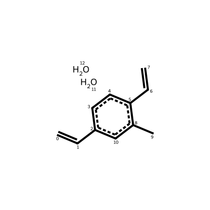 C=Cc1ccc(C=C)c(C)c1.O.O